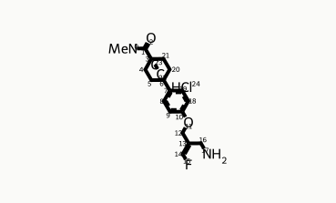 CNC(=O)C12CCC(c3ccc(OCC(=CF)CN)cc3)(CC1)CC2.Cl